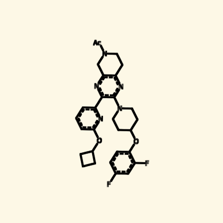 CC(=O)N1CCc2nc(N3CCC(Oc4ccc(F)cc4F)CC3)c(-c3cccc(OC4CCC4)n3)nc2C1